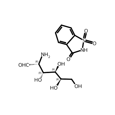 N[C@@H](C=O)[C@@H](O)[C@@H](O)[C@H](O)CO.O=C1NS(=O)(=O)c2ccccc21